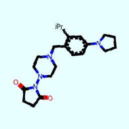 CC(C)c1cc(N2CCCC2)ccc1CN1CCN(N2C(=O)CCC2=O)CC1